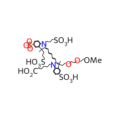 COCCOCCOCCC1(C)C(/C=C/C=C/C=C2/N(CCCS(=O)(=O)O)c3ccc(S(=O)(=O)[O-])cc3C2(C)CCCS(=O)(=O)O)=[N+](CCCCCC(=O)O)c2ccc(S(=O)(=O)O)cc21